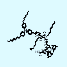 CCCCCCCCc1ccc(N(c2ccc(CCCCCCCC)cc2)c2ccc(-c3ccc(C4=C5C(=O)N(CCCCCCCC)C(c6ccc(-c7cc(B(c8c(C)cc(C)cc8C)c8c(C)cc(C)cc8C)c(-c8ncc(C(=O)O)s8)s7)s6)=C5C(=O)N4CCCCCCCC)s3)cc2)cc1